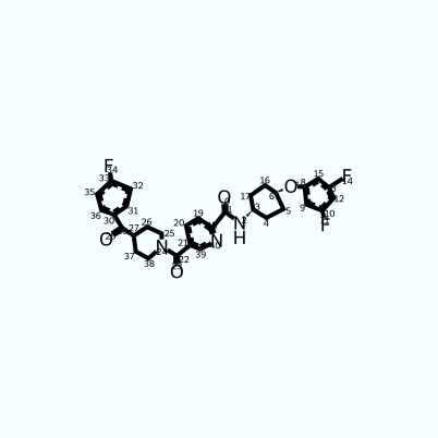 O=C(N[C@H]1CC[C@@H](Oc2cc(F)cc(F)c2)CC1)c1ccc(C(=O)N2CCC(C(=O)c3ccc(F)cc3)CC2)cn1